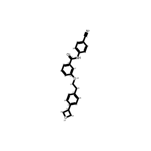 N#Cc1ccc(NC(=O)c2cccc(OCCc3ccc(C4COC4)cc3)c2)cc1